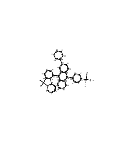 CC1(C)c2ccccc2-c2c(-c3c4ccccc4c(-c4ccc(C(F)(F)F)cc4)c4ccc(-c5ccccc5)cc34)cccc21